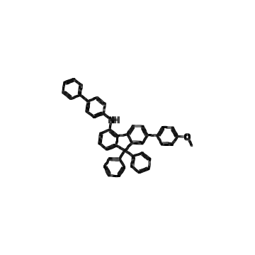 COc1ccc(-c2ccc3c(c2)C(c2ccccc2)(c2ccccc2)c2cccc(Nc4ccc(-c5ccccc5)cc4)c2-3)cc1